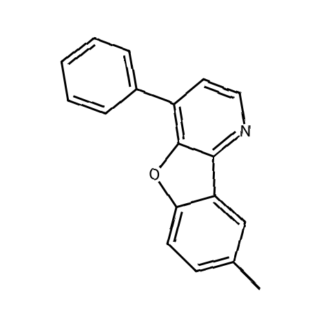 Cc1ccc2oc3c(-c4ccccc4)ccnc3c2c1